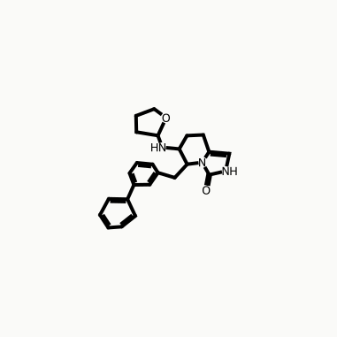 O=c1[nH]cc2n1C(Cc1cccc(-c3ccccc3)c1)C(NC1CCCO1)CC2